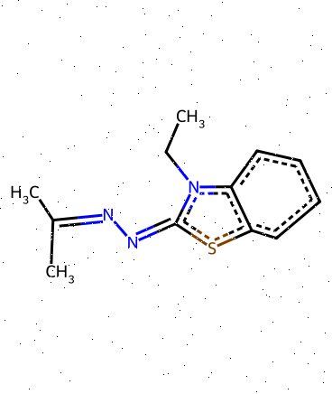 CCn1c(=NN=C(C)C)sc2ccccc21